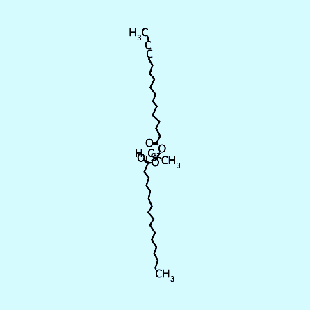 CCCCCCCCCCCCCCCCC(=O)O[Si](C)(C)OC(=O)CCCCCCCCCCCCCCCC